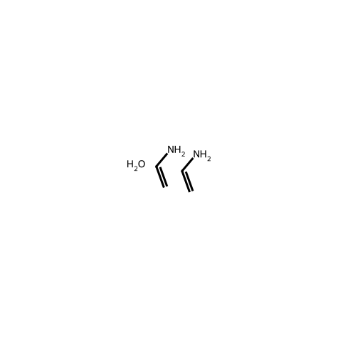 C=CN.C=CN.O